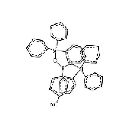 N#Cc1ccc(B(O[Si](c2ccccc2)(c2ccccc2)c2ccccc2)O[Si](c2ccccc2)(c2ccccc2)c2ccccc2)cc1